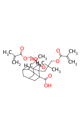 C=C(C)C(=O)OCC(C)(C)CC1(CC(C)(C)COC(=O)C(=C)C)C2(C(=O)O)CC3CC(C2)CC1(C(=O)O)C3